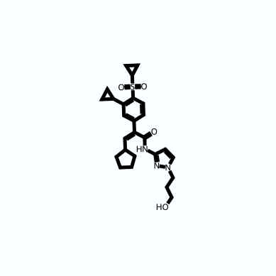 O=C(Nc1ccn(CCCO)n1)C(=CC1CCCC1)c1ccc(S(=O)(=O)C2CC2)c(C2CC2)c1